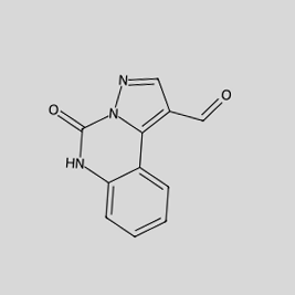 O=Cc1cnn2c(=O)[nH]c3ccccc3c12